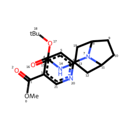 COC(=O)c1ccc(N2C3CCC2CC(NC(=O)OC(C)(C)C)C3)nc1